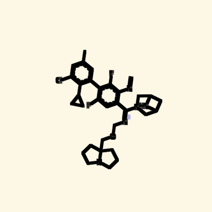 C=Nc1c(/C(=N\COCC23CCCN2CCC3)N2CC3CC(C2)N3)cc(F)c(-c2cc(C)cc(Cl)c2C2CC2)c1F